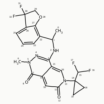 CC(Nc1nn(C)c(=O)c2cc(=O)n(C3(C(F)F)CC3)cc12)c1cccc2c1OCC2(F)F